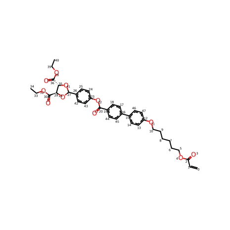 C=CC(=O)OCCCCCCOc1ccc(-c2ccc(C(=O)Oc3ccc(C4O[C@@H](C(=O)OCC)[C@H](C(=O)OCC)O4)cc3)cc2)cc1